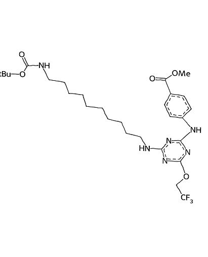 COC(=O)c1ccc(Nc2nc(NCCCCCCCCCCNC(=O)OC(C)(C)C)nc(OCC(F)(F)F)n2)cc1